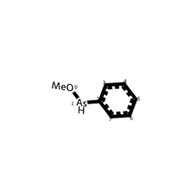 CO[AsH]c1ccccc1